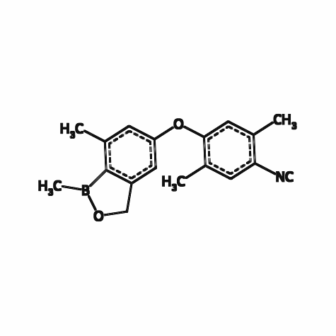 [C-]#[N+]c1cc(C)c(Oc2cc(C)c3c(c2)COB3C)cc1C